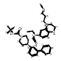 CCN(C(=O)[C@H]1CN(C(=O)OC(C)(C)C)CC[C@@H]1c1cccc(-c2ccccc2)c1)c1ccc2c(c1)N(CCCOC)CCO2